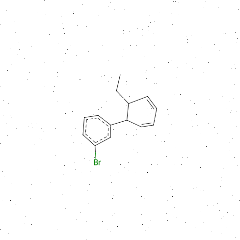 CCC1C=CC=CC1c1cccc(Br)c1